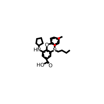 CCCCN(CCCC)c1cc(C(=O)O)cc(NC2CCCC2)c1Oc1ccccc1